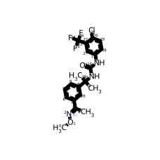 CO/N=C(\C)c1cccc(C(C)(C)NC(=O)Nc2ccc(Cl)c(C(F)(F)F)c2)c1